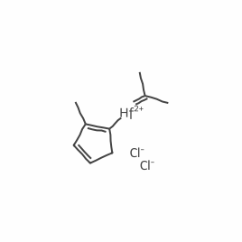 C[C](C)=[Hf+2][C]1=C(C)C=CC1.[Cl-].[Cl-]